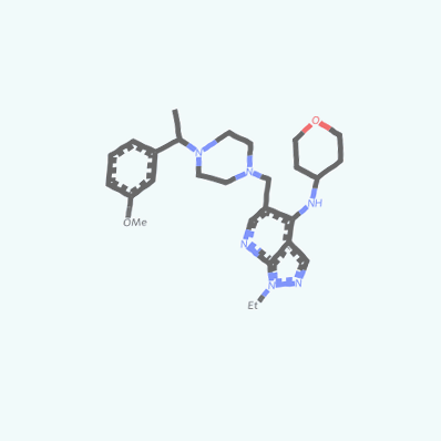 CCn1ncc2c(NC3CCOCC3)c(CN3CCN(C(C)c4cccc(OC)c4)CC3)cnc21